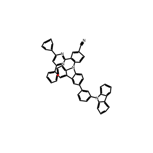 N#Cc1ccc(-n2c3ccccc3c3cc(-c4cccc(-n5c6ccccc6c6ccccc65)c4)ccc32)c(-c2nc(-c3ccccc3)cc(-c3ccccc3)n2)c1